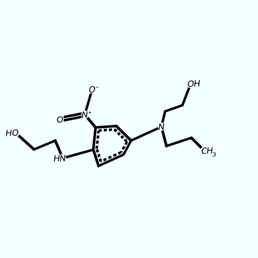 CCCN(CCO)c1ccc(NCCO)c([N+](=O)[O-])c1